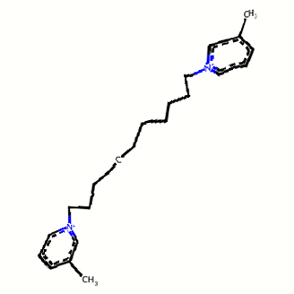 Cc1ccc[n+](CCCCCCCCCCC[n+]2cccc(C)c2)c1